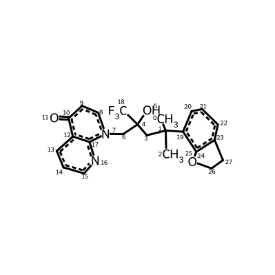 CC(C)(CC(O)(Cn1ccc(=O)c2cccnc21)C(F)(F)F)c1cccc2c1OCC2